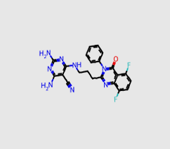 N#Cc1c(N)nc(N)nc1NCCCc1nc2c(F)ccc(F)c2c(=O)n1-c1ccccc1